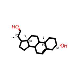 C[C@H](CO)C1CCC2C3CC=C4C[C@@H](O)CC[C@]4(C)C3CC[C@@]21C